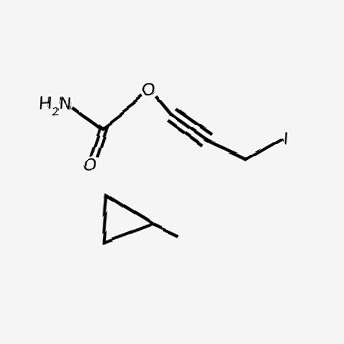 CC1CC1.NC(=O)OC#CCI